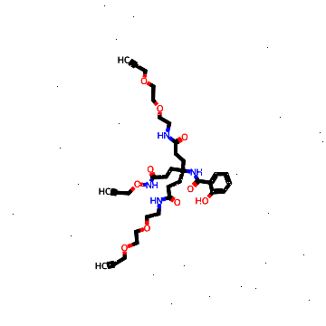 C#CCOCCOCCNC(=O)CCC(CCC(=O)NCCOCCOCC#C)(CCC(=O)NOCC#C)NC(=O)c1ccccc1O